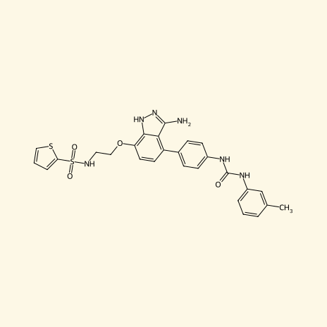 Cc1cccc(NC(=O)Nc2ccc(-c3ccc(OCCNS(=O)(=O)c4cccs4)c4[nH]nc(N)c34)cc2)c1